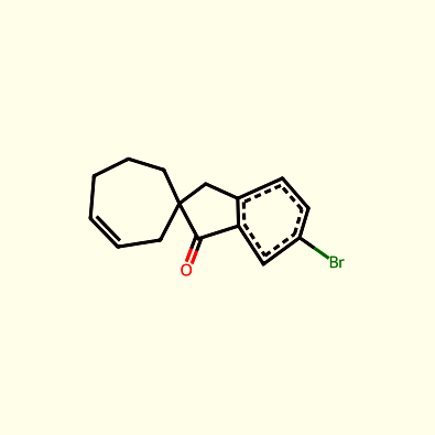 O=C1c2cc(Br)ccc2CC12CC=CCCC2